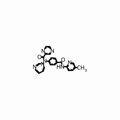 Cc1ccc(NC(=O)c2ccc(N(C(=O)c3cnccn3)N3C=CC=CN=C3)cc2)nc1